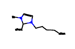 CCCCCCCCCCCCCN1C=CN(CC)C1CCCCC